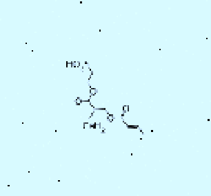 CC=CC(=O)OCC(C)C(=O)OCCS(=O)(=O)O.[CaH2]